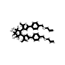 C=CCOCc1ccc(-c2cc(C3=C(c4cc(-c5ccc(COCC=C)cc5)sc4C)C(F)(F)C(F)(F)C3(F)F)c(C)s2)cc1